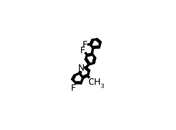 Cc1cc(-c2ccc(-c3ccccc3F)c(F)c2)nc2ccc(F)cc12